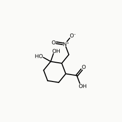 O=C(O)C1CCCC(O)(O)C1C[N+](=O)[O-]